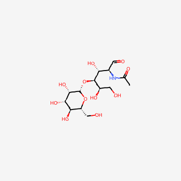 CC(=O)N[C@H](C=O)[C@@H](O)[C@H](O[C@@H]1O[C@H](CO)[C@@H](O)[C@H](O)[C@@H]1O)[C@H](O)CO